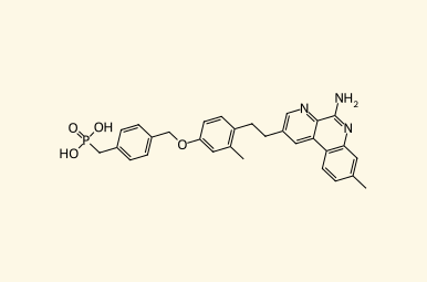 Cc1ccc2c(c1)nc(N)c1ncc(CCc3ccc(OCc4ccc(CP(=O)(O)O)cc4)cc3C)cc12